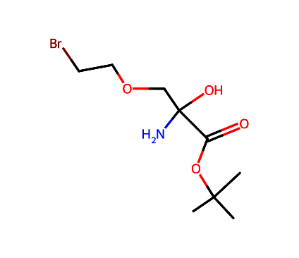 CC(C)(C)OC(=O)C(N)(O)COCCBr